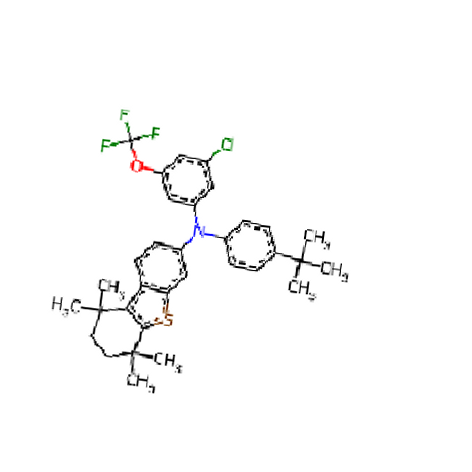 CC(C)(C)c1ccc(N(c2cc(Cl)cc(OC(F)(F)F)c2)c2ccc3c4c(sc3c2)C(C)(C)CCC4(C)C)cc1